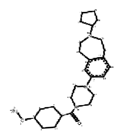 CC(C)(C)O[C@H]1CC[C@@H](C(=O)N2CCN(c3ccc4c(c3)CCN(C3CCCC3)CC4)CC2)CC1